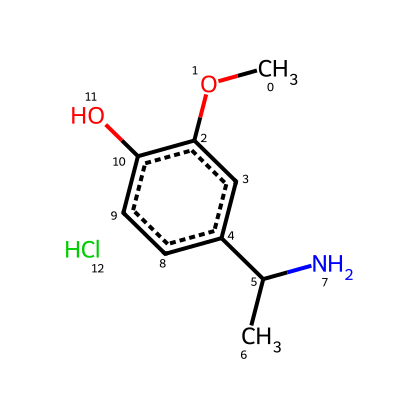 COc1cc(C(C)N)ccc1O.Cl